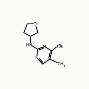 Cc1cnc(NC2CCOC2)nc1C(C)(C)C